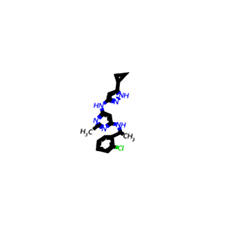 Cc1nc(Nc2cc(C3CC3)[nH]n2)cc(NC(C)c2ccccc2Cl)n1